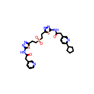 O=C(Cc1cccnc1)Nc1nnc(CCS(=O)(=O)CCc2nnc(NC(=O)Cc3ccc(C4CCCC4)nc3)s2)s1